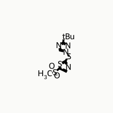 CC(C)(C)c1ncn(Sc2ncc(S(C)(=O)=O)s2)n1